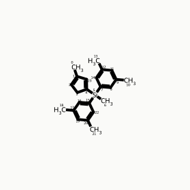 CC1=CCC([Si](C)(c2cc(C)cc(C)c2)c2cc(C)cc(C)c2)=C1